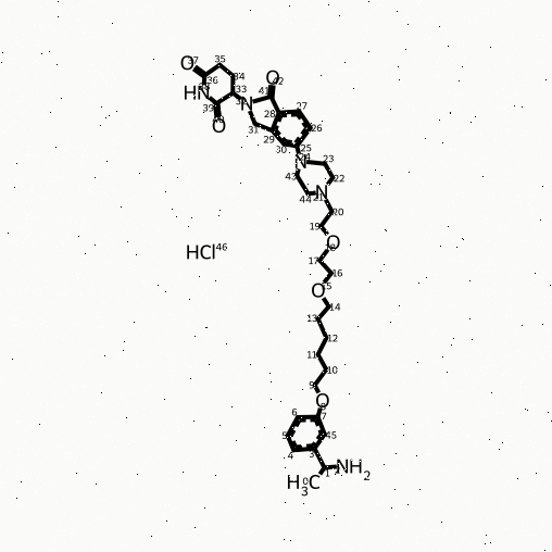 CC(N)c1cccc(OCCCCCCOCCOCCN2CCN(c3ccc4c(c3)CN(C3CCC(=O)NC3=O)C4=O)CC2)c1.Cl